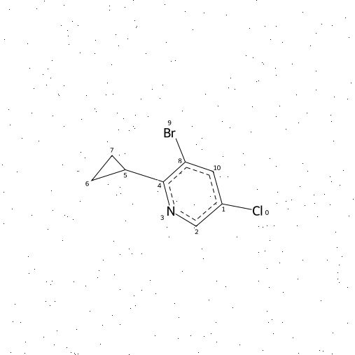 Clc1cnc(C2CC2)c(Br)c1